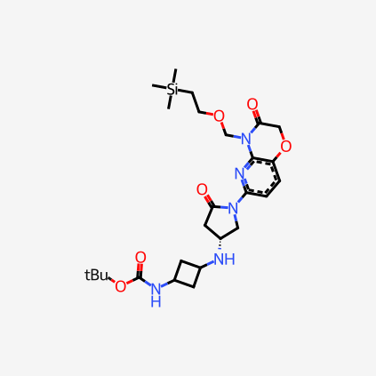 CC(C)(C)OC(=O)NC1CC(N[C@@H]2CC(=O)N(c3ccc4c(n3)N(COCC[Si](C)(C)C)C(=O)CO4)C2)C1